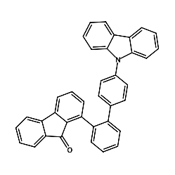 O=C1c2ccccc2-c2cccc(-c3ccccc3-c3ccc(-n4c5ccccc5c5ccccc54)cc3)c21